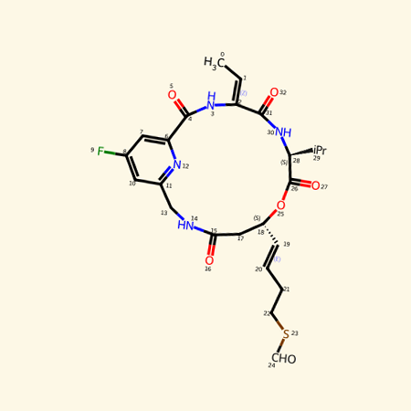 C/C=C1\NC(=O)c2cc(F)cc(n2)CNC(=O)C[C@@H](/C=C/CCSC=O)OC(=O)[C@H](C(C)C)NC1=O